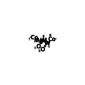 [Co].[Co].[MgH2].[O]=[W].[O]=[W]